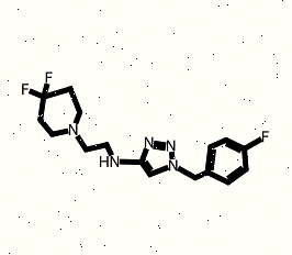 Fc1ccc(Cn2cc(NCCN3CCC(F)(F)CC3)nn2)cc1